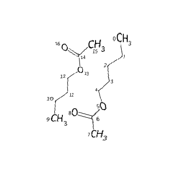 CCCCCOC(C)=O.CCCCOC(C)=O